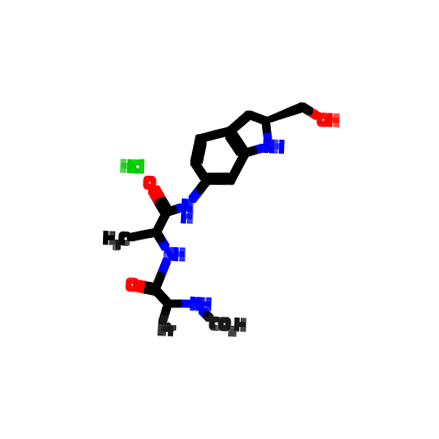 CC(NC(=O)C(NC(=O)O)C(C)C)C(=O)Nc1ccc2c(c1)N[C@H](CO)C2.Cl